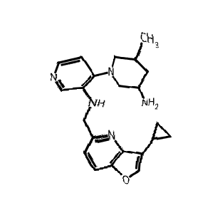 CC1CC(N)CN(c2ccncc2NCc2ccc3occ(C4CC4)c3n2)C1